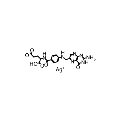 Nc1nc2ncc(CNc3ccc(C(=O)NC(CCC(=O)[O-])C(=O)O)cc3)nc2c(=O)[nH]1.[Ag+]